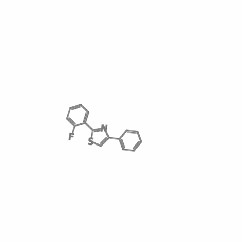 Fc1ccccc1-c1nc(-c2ccccc2)cs1